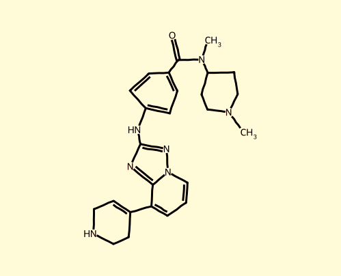 CN1CCC(N(C)C(=O)c2ccc(Nc3nc4c(C5=CCNCC5)cccn4n3)cc2)CC1